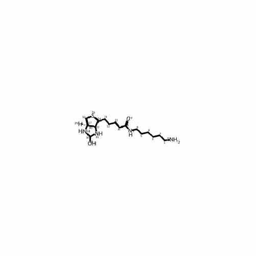 NCCCCCCNC(=O)CCCCC1SC[C@@H]2NC(O)NC12